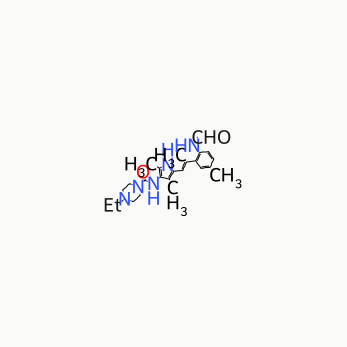 CCN1CCN(C(=O)Nc2c(C)[nH]c(/C=C(\C)c3cc(C)ccc3NC=O)c2C)CC1